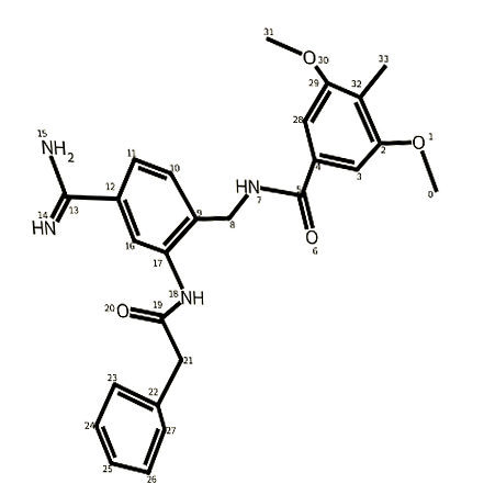 COc1cc(C(=O)NCc2ccc(C(=N)N)cc2NC(=O)Cc2ccccc2)cc(OC)c1C